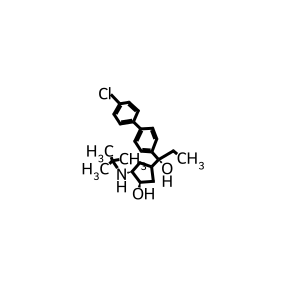 CC[C@](O)(c1ccc(-c2ccc(Cl)cc2)cc1)C1C[C@@H](O)[C@H](NC(C)(C)C)C1